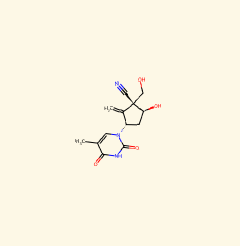 C=C1[C@@H](n2cc(C)c(=O)[nH]c2=O)C[C@H](O)[C@@]1(C#N)CO